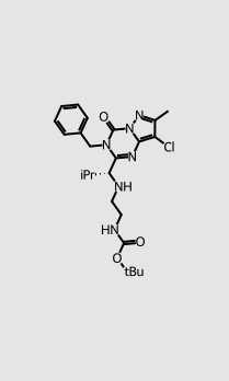 Cc1nn2c(=O)n(Cc3ccccc3)c([C@H](NCCNC(=O)OC(C)(C)C)C(C)C)nc2c1Cl